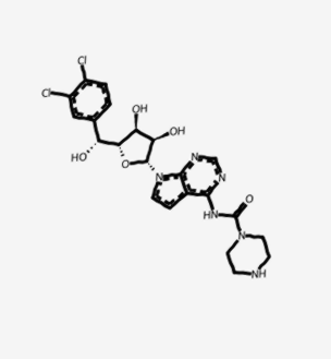 O=C(Nc1ncnc2c1ccn2[C@@H]1O[C@H]([C@H](O)c2ccc(Cl)c(Cl)c2)[C@@H](O)[C@H]1O)N1CCNCC1